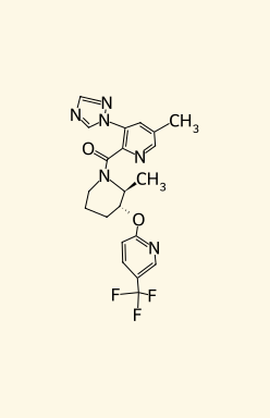 Cc1cnc(C(=O)N2CCC[C@@H](Oc3ccc(C(F)(F)F)cn3)[C@@H]2C)c(-n2cncn2)c1